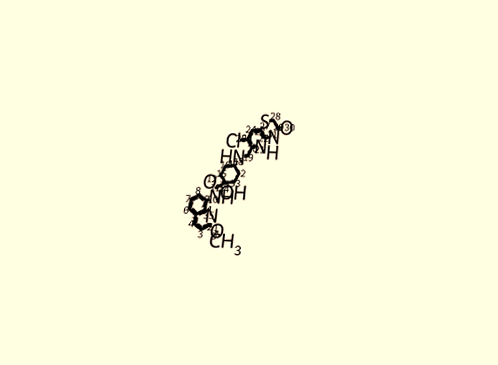 COc1ccc2cccc(NC(=O)[C@]3(O)CC[C@@H](NCc4nc5c(cc4Cl)SCC(=O)N5)CC3)c2n1